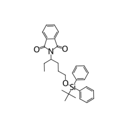 CCC(CCCO[Si](c1ccccc1)(c1ccccc1)C(C)(C)C)N1C(=O)c2ccccc2C1=O